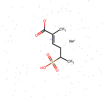 C/C(=C\CC(C)S(=O)(=O)O)C(=O)[O-].[Na+]